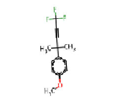 COc1ccc(C(C)(C)C#CC(F)(F)F)cc1